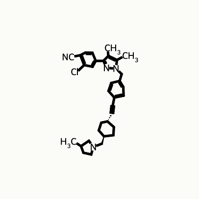 Cc1c(-c2ccc(C#N)c(Cl)c2)nn(Cc2ccc(C#C[C@H]3CC[C@H](CN4CCC(C)C4)CC3)cc2)c1C